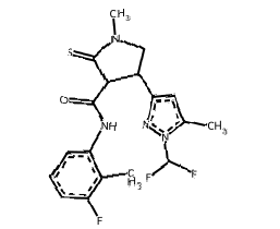 Cc1c(F)cccc1NC(=O)C1C(=S)N(C)CC1c1cc(C)n(C(F)F)n1